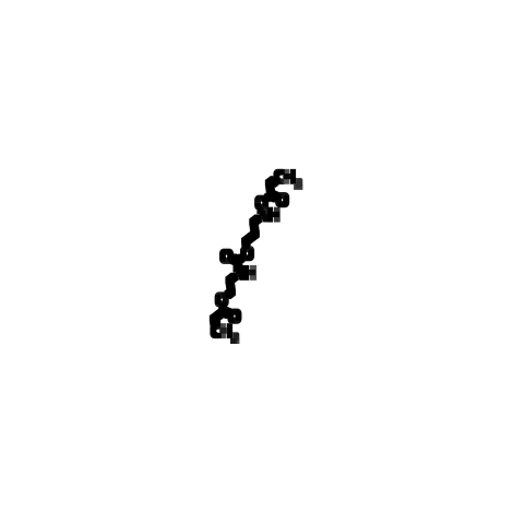 C=CC(=O)OCCNC(=O)OCCCNOC(=O)C=C